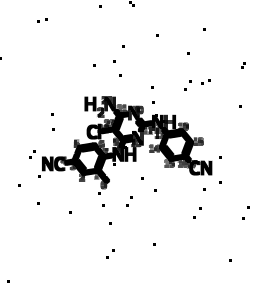 Cc1cc(C#N)ccc1Nc1nc(Nc2ccc(C#N)cc2)nc(N)c1Cl